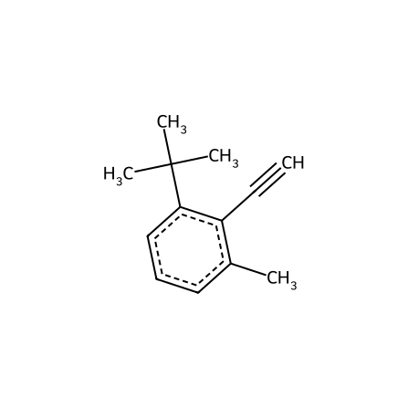 C#Cc1c(C)cccc1C(C)(C)C